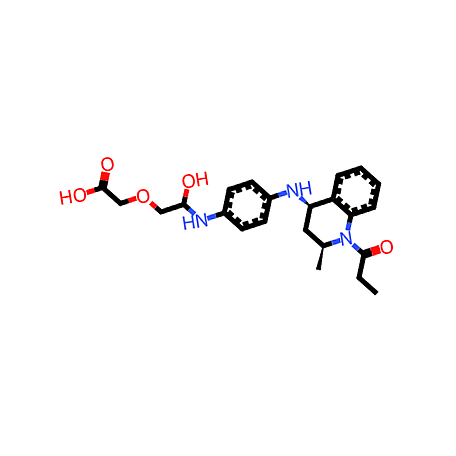 CCC(=O)N1c2ccccc2[C@H](Nc2ccc(NC(O)COCC(=O)O)cc2)C[C@@H]1C